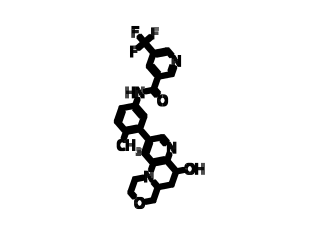 Cc1ccc(NC(=O)c2cncc(C(F)(F)F)c2)cc1-c1cnc2c(c1)N1CCOCC1CC2O